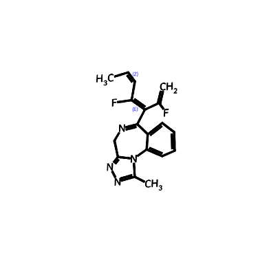 C=C(F)/C(C1=NCc2nnc(C)n2-c2ccccc21)=C(F)\C=C/C